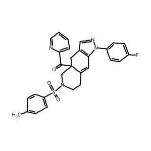 Cc1ccc(S(=O)(=O)N2CCC3=Cc4c(cnn4-c4ccc(F)cc4)CC3(C(=O)c3ccccn3)C2)cc1